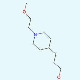 COCCN1CCC(CCC[O])CC1